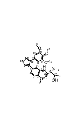 COc1ccc(-c2csnc2-c2cc(OC)c(OC)c(OC)c2)cc1NC(=O)[C@H](N)C(C)O